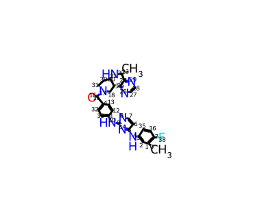 Cc1cc(Nc2ccnc(Nc3ccc(C(=O)N4CCC(NC(C)c5cnccn5)CC4)cc3)n2)ccc1F